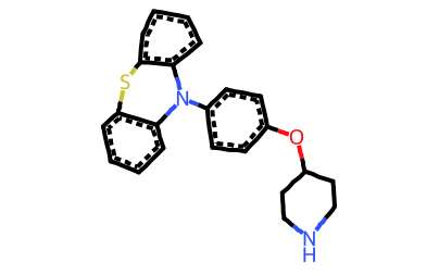 c1ccc2c(c1)Sc1ccccc1N2c1ccc(OC2CCNCC2)cc1